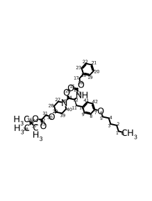 CCCCCCOc1ccc(C[C@H](NC(=O)OCc2ccccc2)C(=O)N2CCC(OCC(=O)OC(C)(C)C)CC2)cc1